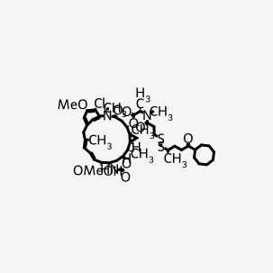 COc1cc2cc(c1Cl)N(C)C(=O)C[C@H](OC(=O)[C@H](C)N(C)C(=O)CCSSC(C)CCC(=O)C1CCCCCCC1)[C@@]1(C)C[C@H]1[C@H](C)[C@@H]1C[C@@](O)(NC(=O)O1)[C@H](OC)/C=C/C=C(\C)C2